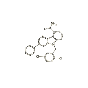 NC(=O)c1cccc2c1c1[c]cc(-c3ccccc3)cc1n2Cc1cc(Cl)ccc1Cl